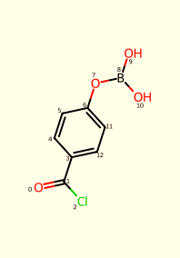 O=C(Cl)c1ccc(OB(O)O)cc1